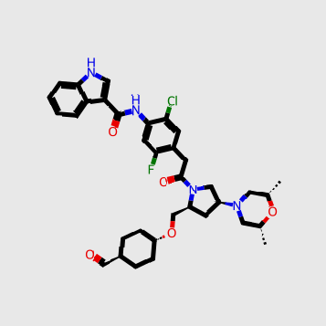 C[C@@H]1CN([C@H]2C[C@@H](CO[C@H]3CC[C@H](C=O)CC3)N(C(=O)Cc3cc(Cl)c(NC(=O)c4c[nH]c5ccccc45)cc3F)C2)C[C@H](C)O1